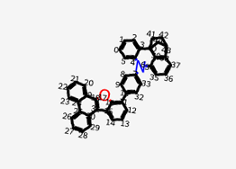 c1ccc2c(c1)N(c1ccc(-c3cccc4c3oc3c5ccccc5c5ccccc5c43)cc1)c1cccc3c1C21CCC3C1